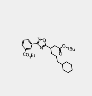 CCOC(=O)c1cccc(-c2noc([C@H](CCCC3CCCCC3)CC(=O)OC(C)(C)C)n2)c1